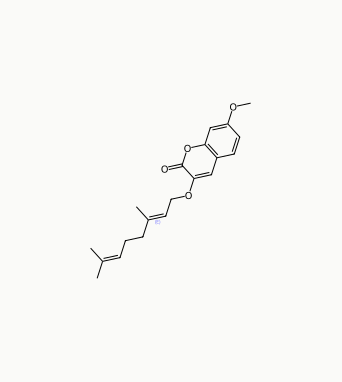 COc1ccc2cc(OC/C=C(\C)CCC=C(C)C)c(=O)oc2c1